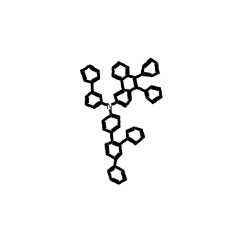 c1ccc(-c2cccc(N(c3ccc(-c4ccc(-c5ccccc5)cc4-c4ccccc4)cc3)c3ccc4c(-c5ccccc5)c(-c5ccccc5)c5ccccc5c4c3)c2)cc1